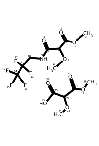 COC(=O)C(OC)C(=O)NCC(F)(F)C(F)(F)F.COC(=O)C(OC)C(=O)O